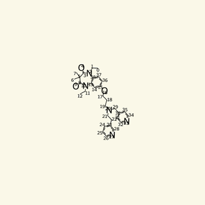 CCN1C(=O)C(C)(C)C(=O)N(CC)c2cc(OCCCN(CCc3cccnc3)Cc3ccncc3)ccc21